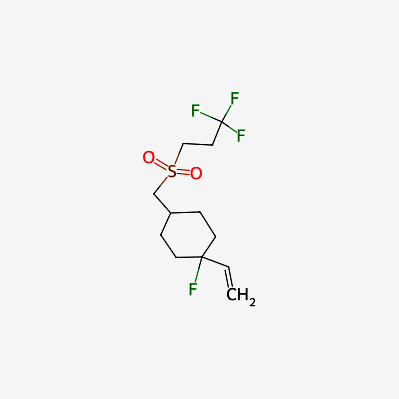 C=CC1(F)CCC(CS(=O)(=O)CCC(F)(F)F)CC1